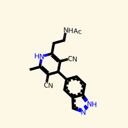 CC(=O)NCCC1=C(C#N)C(c2ccc3[nH]ncc3c2)C(C#N)=C(C)N1